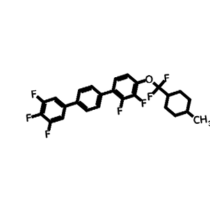 CC1CCC(C(F)(F)Oc2ccc(-c3ccc(-c4cc(F)c(F)c(F)c4)cc3)c(F)c2F)CC1